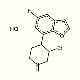 CCC1CNCCC1c1cc(F)cc2ccoc12.Cl